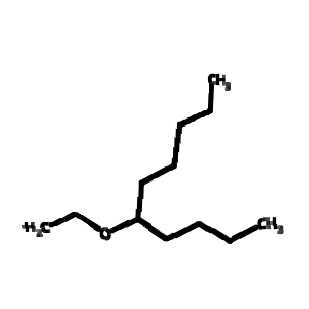 [CH2]COC(CCCC)CCCCC